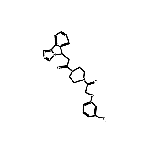 O=C(CC1c2ccccc2-c2cncn21)C1CCN(C(=O)COc2cccc(C(F)(F)F)c2)CC1